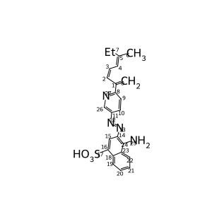 C=C(/C=C\C=C(\C)CC)c1ccc(/N=N/c2cc(S(=O)(=O)O)c3ccccc3c2N)cn1